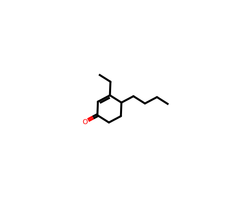 CCCCC1CCC(=O)C=C1CC